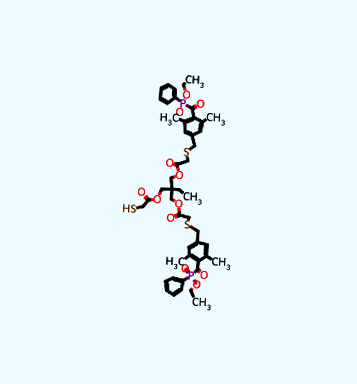 CCOP(=O)(C(=O)c1c(C)cc(CSCC(=O)OCC(CC)(COC(=O)CS)COC(=O)CSCc2cc(C)c(C(=O)P(=O)(OCC)c3ccccc3)c(C)c2)cc1C)c1ccccc1